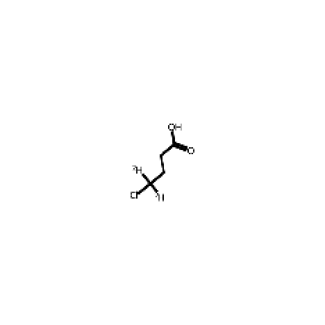 [2H]C([2H])(Cl)CCC(=O)O